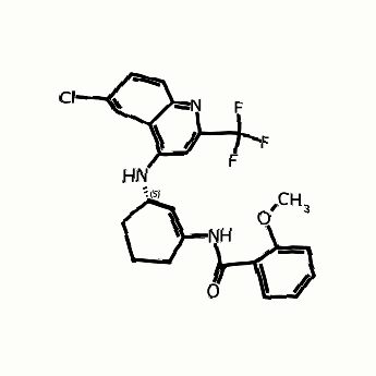 COc1ccccc1C(=O)NC1=C[C@@H](Nc2cc(C(F)(F)F)nc3ccc(Cl)cc23)CCC1